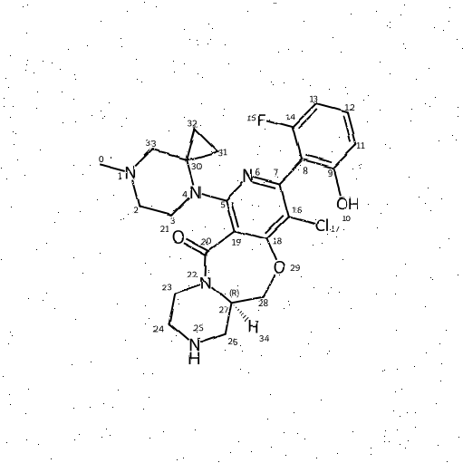 CN1CCN(c2nc(-c3c(O)cccc3F)c(Cl)c3c2C(=O)N2CCNC[C@@H]2CO3)C2(CC2)C1